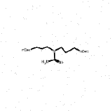 CCCCCCCCCCCCCN(CCCCCCCCCCCCC)C(=N)N